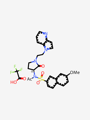 COc1ccc2ccc(S(=O)(=O)N(C(C)=O)[C@H]3CCN(CCn4ccc5ncccc54)C3=O)cc2c1.O=C(O)C(F)(F)F